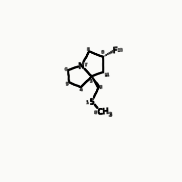 CSC[C@@]12CCCN1C[C@H](F)C2